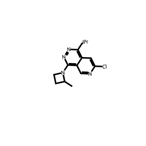 CC(C)c1nnc(N2CCC2C)c2cnc(Cl)cc12